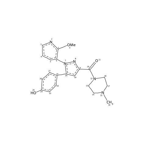 COc1ncccc1-n1nc(C(=O)N2CCN(C)CC2)cc1-c1ccc(O)cc1